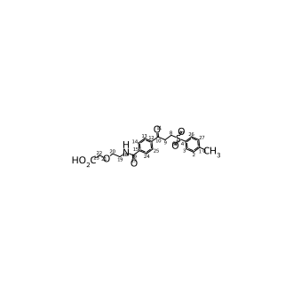 Cc1ccc(S(=O)(=O)CCC(=O)c2ccc(C(=O)NCCOCC(=O)O)cc2)cc1